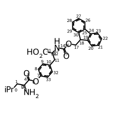 CC(C)C[C@H](N)C(=O)Oc1ccc(C[C@H](NC(=O)OCC2c3ccccc3-c3ccccc32)C(=O)O)cc1